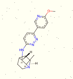 COc1ccc(-c2ccc(N[C@H]3C4CCN(CC4)[C@@H]3C)nn2)cn1